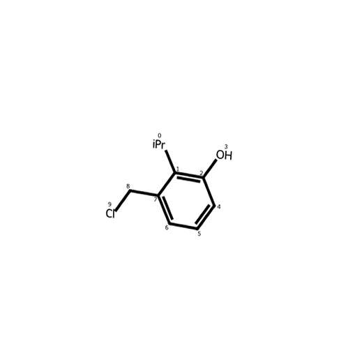 CC(C)c1c(O)cccc1CCl